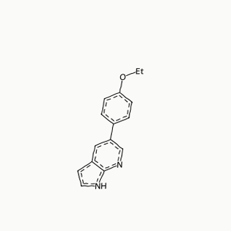 CCOc1ccc(-c2cnc3[nH]ccc3c2)cc1